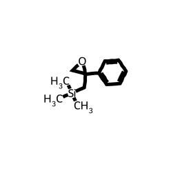 C[Si](C)(C)CC1(c2ccccc2)CO1